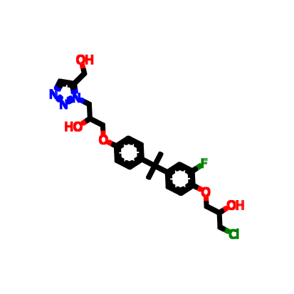 CC(C)(c1ccc(OCC(O)Cn2nncc2CO)cc1)c1ccc(OCC(O)CCl)c(F)c1